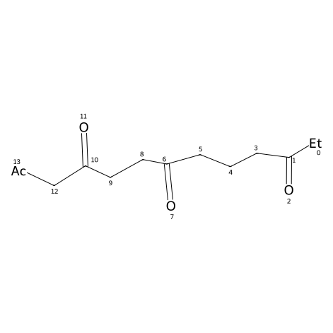 CCC(=O)CCCC(=O)CCC(=O)CC(C)=O